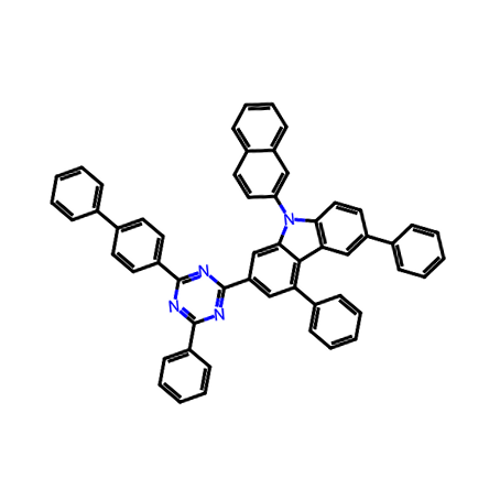 c1ccc(-c2ccc(-c3nc(-c4ccccc4)nc(-c4cc(-c5ccccc5)c5c6cc(-c7ccccc7)ccc6n(-c6ccc7ccccc7c6)c5c4)n3)cc2)cc1